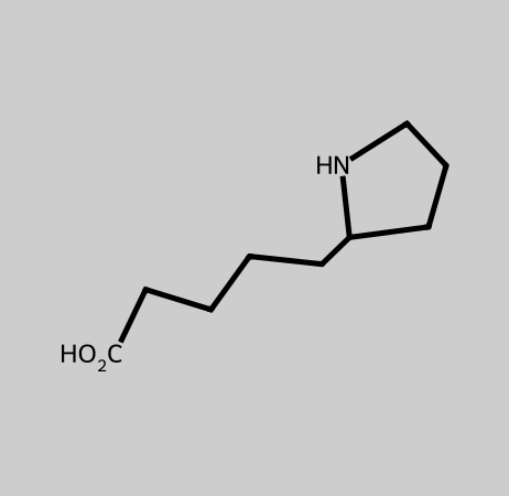 O=C(O)CCCCC1CCCN1